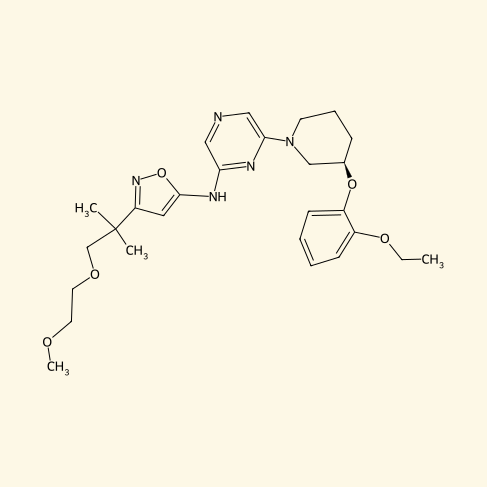 CCOc1ccccc1O[C@@H]1CCCN(c2cncc(Nc3cc(C(C)(C)COCCOC)no3)n2)C1